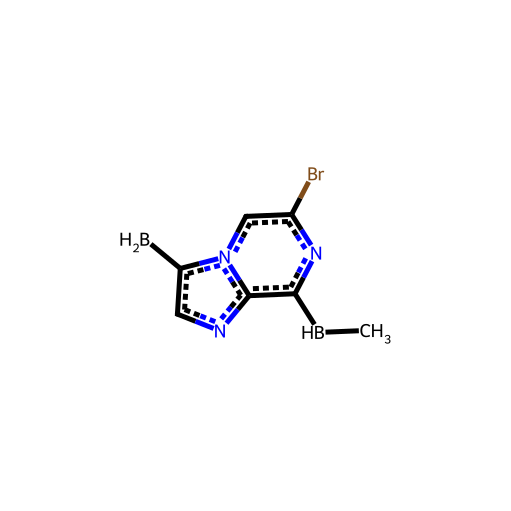 Bc1cnc2c(BC)nc(Br)cn12